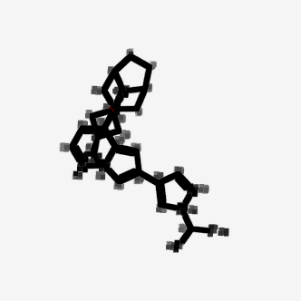 N#C[C@H]1C[C@@H](N2C3CCC2CN(c2ccnn4cc(-c5cnn(C(F)F)c5)cc24)C3)C1